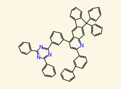 c1ccc(-c2cccc(-c3cc(-c4cccc(-c5nc(-c6ccccc6)nc(-c6ccccc6)n5)c4)c4cc5c(cc4n3)C(c3ccccc3)(c3ccccc3)c3ccccc3-5)c2)cc1